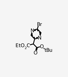 CCOC(=O)C(C(=O)OC(C)(C)C)c1cnc(Br)cn1